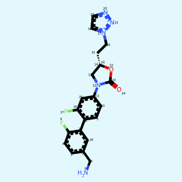 NCc1ccc(F)c(-c2ccc(N3C[C@H](CCn4ccnn4)OC3=O)cc2F)c1